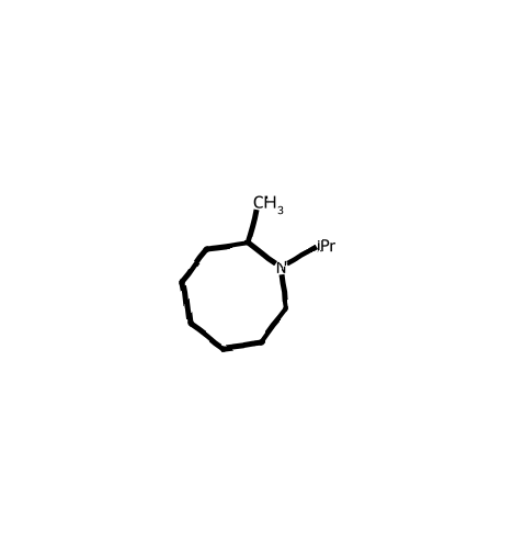 CC(C)N1CCCCCCC1C